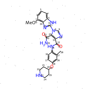 COc1cccc2[nH]c(-n3cnc(C(=O)Nc4ccc(OC5CCNCC5)cc4C)c3C(N)=O)nc12